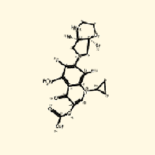 Nc1c(F)c(N2C[C@@H]3OCCN[C@@H]3C2)c(F)c2c1c(=O)c(OC(=O)O)cn2C1CC1